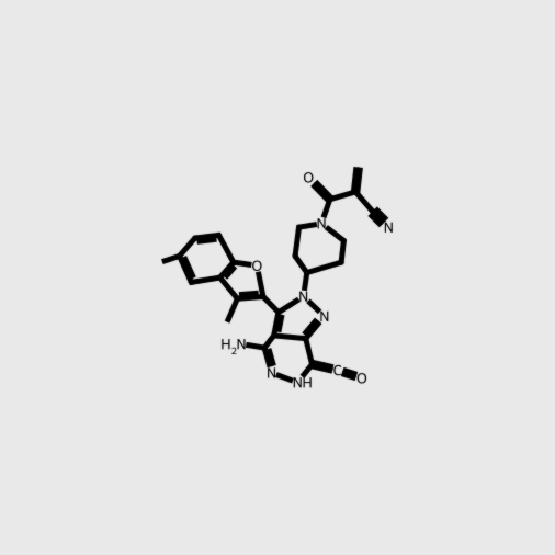 C=C(C#N)C(=O)N1CCC(n2nc3c(c2-c2oc4ccc(C)cc4c2C)C(N)=NNC3=C=O)CC1